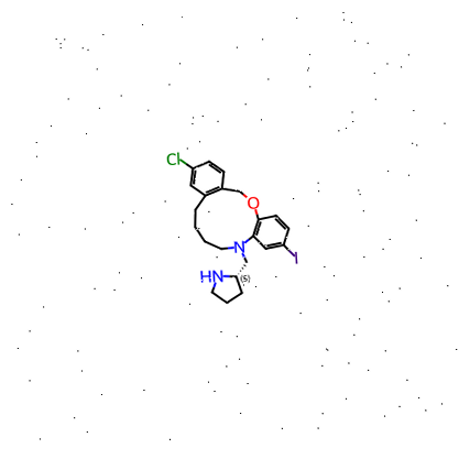 Clc1ccc2c(c1)CCCCN(C[C@@H]1CCCN1)c1cc(I)ccc1OC2